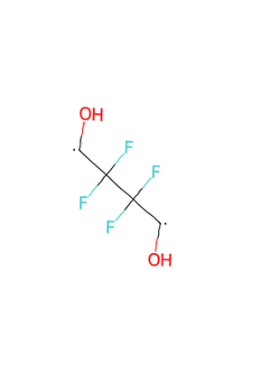 O[CH]C(F)(F)C(F)(F)[CH]O